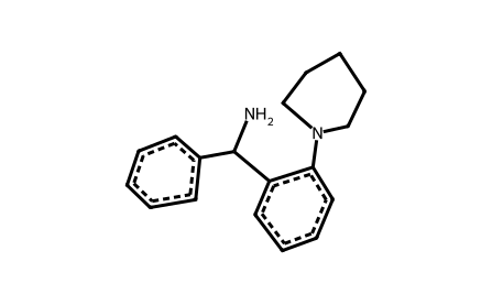 NC(c1ccccc1)c1ccccc1N1CCCCC1